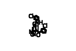 O=C(Nc1nonc1/C=N/ONc1cccc(Cl)c1)c1cccc(Cl)c1